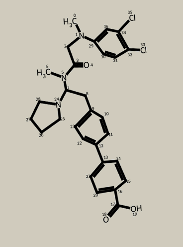 CN(CC(=O)N(C)C(Cc1ccc(-c2ccc(C(=O)O)cc2)cc1)N1CCCC1)c1ccc(Cl)c(Cl)c1